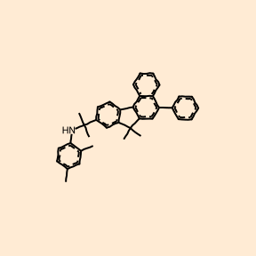 Cc1ccc(NC(C)(C)c2ccc3c(c2)C(C)(C)c2cc(-c4ccccc4)c4ccccc4c2-3)c(C)c1